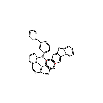 c1ccc(-c2cccc(N(c3cccc4cc5c(cc34)oc3ccccc35)c3cccc4ccc5ccc6ccccc6c5c34)c2)cc1